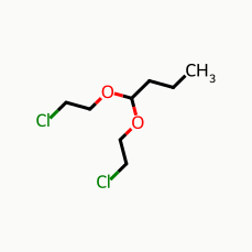 CCCC(OCCCl)OCCCl